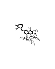 COc1cc(Cc2cccc(I)c2F)cn2c(=O)c(C=O)cc([C@H](CO)C(C)(C)C)c12